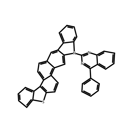 c1ccc(-c2nc(-n3c4ccccc4c4cc5ccc6c(ccc7sc8ccccc8c76)c5cc43)nc3ccccc23)cc1